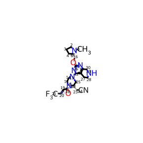 CN1CCC[C@H]1COc1nc2c(c(N3CCN(C(=O)/C=C/C(F)(F)F)[C@@H](CC#N)C3)n1)CCNC2